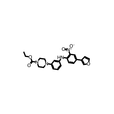 CCOC(=O)N1CCN(c2cccc(Nc3ccc(-c4ccoc4)cc3[N+](=O)[O-])c2)CC1